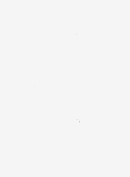 CCOC(=O)C(=O)c1cscn1